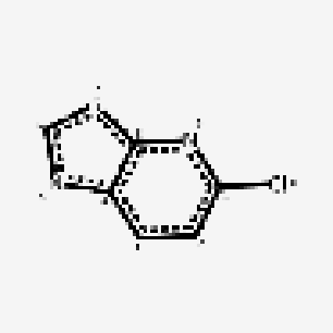 Clc1ccc2n[c]sc2n1